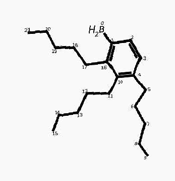 Bc1ccc(CCCCC)c(CCCCC)c1CCCCC